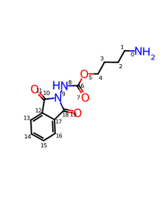 NCCCCOC(=O)NN1C(=O)c2ccccc2C1=O